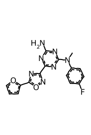 CN(c1ccc(F)cc1)c1nc(N)nc(-c2noc(-c3ccco3)n2)n1